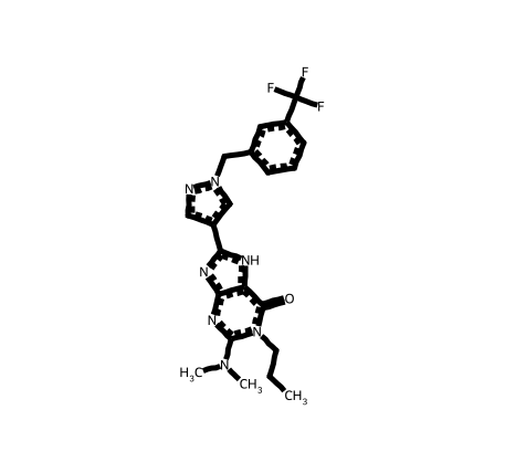 CCCn1c(N(C)C)nc2nc(-c3cnn(Cc4cccc(C(F)(F)F)c4)c3)[nH]c2c1=O